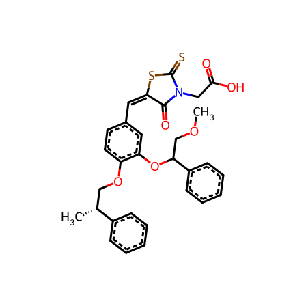 COCC(Oc1cc(C=C2SC(=S)N(CC(=O)O)C2=O)ccc1OC[C@@H](C)c1ccccc1)c1ccccc1